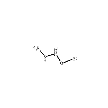 CCOPBN